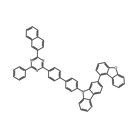 c1ccc(-c2nc(-c3ccc(-c4ccc(-n5c6ccccc6c6ccc(-c7cccc8oc9ccccc9c78)cc65)cc4)cc3)nc(-c3ccc4ccccc4c3)n2)cc1